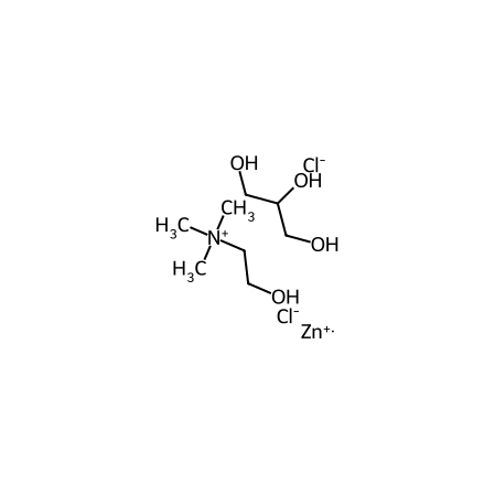 C[N+](C)(C)CCO.OCC(O)CO.[Cl-].[Cl-].[Zn+]